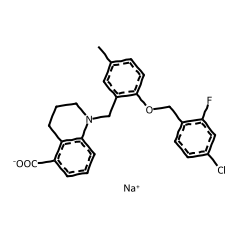 Cc1ccc(OCc2ccc(Cl)cc2F)c(CN2CCCc3c(C(=O)[O-])cccc32)c1.[Na+]